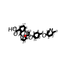 Cc1ccc(OCc2ccc(OC3CN(c4cccc(C(=O)O)c4Cn4cccc4)C3)cc2)cn1